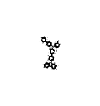 Cc1cccc(N(c2ccc(-c3ccccc3)cc2)c2ccc(-c3ccc(-n4c5ccccc5c5ccccc54)cc3)cc2)c1